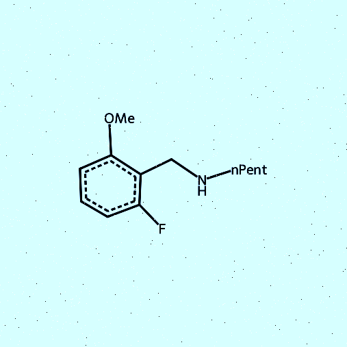 CCCCCNCc1c(F)cccc1OC